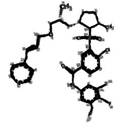 CC1CC[C@@H](C[C@@H](C)COC/C=C/c2ccncc2)C1S(=O)(=O)c1cc(C(=O)Nc2cc(F)c(F)c(F)c2)ccc1Cl